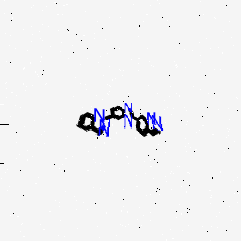 c1ccc2nc(-c3ccc4ncc(-c5ccc6ccnnc6c5)nc4c3)ncc2c1